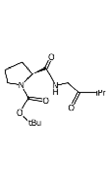 CC(C)C(=O)CNC(=O)[C@@H]1CCCN1C(=O)OC(C)(C)C